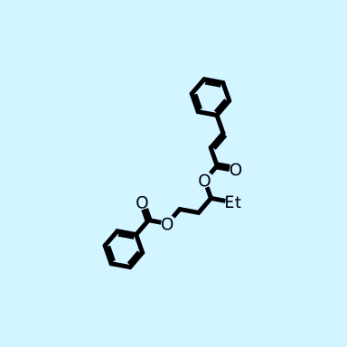 CCC(CCOC(=O)c1ccccc1)OC(=O)/C=C/c1ccccc1